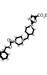 CCOC(=O)c1cnc(N2CCC(CN3CCN(C(=O)OCc4ccccc4)CC3)CC2)o1